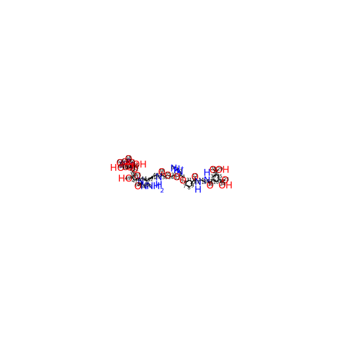 [N-]=[N+]=NC(COc1cccc(C(=O)NCCNC(=O)c2cc(C(=O)O)cc(C(=O)O)c2)c1)OCCOCC(=O)NCC#Cc1cn([C@H]2C[C@H](O)[C@@H](COP(=O)(O)OP(=O)(O)OP(=O)(O)O)O2)c(=O)nc1N